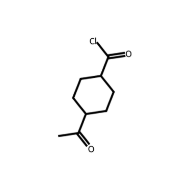 CC(=O)C1CCC(C(=O)Cl)CC1